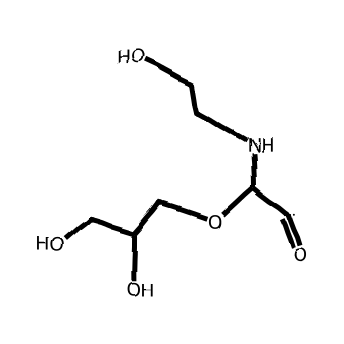 O=[C]C(NCCO)OCC(O)CO